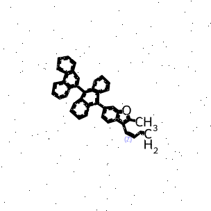 C=C/C=C\c1c(C)oc2cc(-c3c4ccccc4c(-c4cc5ccccc5c5ccccc45)c4ccccc34)ccc12